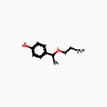 CCOC(=O)CCOC(C)c1ccc(O)cc1